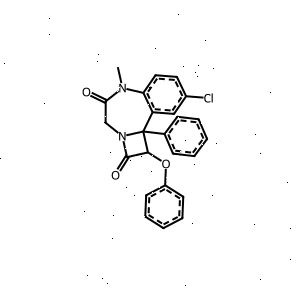 CN1C(=O)CN2C(=O)C(Oc3ccccc3)C2(c2ccccc2)c2cc(Cl)ccc21